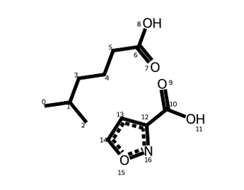 CC(C)CCCC(=O)O.O=C(O)c1ccon1